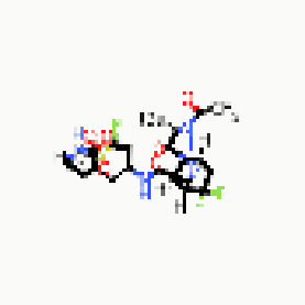 CC(C)(C)[C@H](NC(=O)C(F)(F)F)C(=O)N1[C@@H]2CC[C@H]([C@H]1C(=O)N[C@H](/C=C(/F)S(C)(=O)=O)C[C@H]1CCNC1=O)C(F)(F)C2